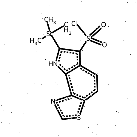 C[Si](C)(C)c1[nH]c2c(ccc3scnc32)c1S(=O)(=O)Cl